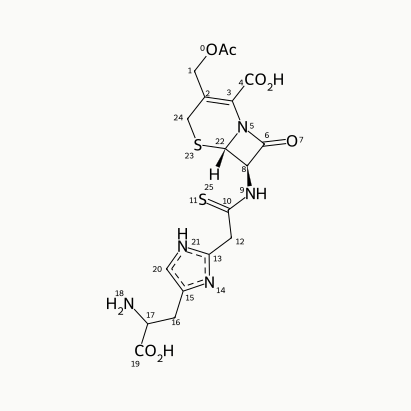 CC(=O)OCC1=C(C(=O)O)N2C(=O)[C@@H](NC(=S)Cc3nc(CC(N)C(=O)O)c[nH]3)[C@@H]2SC1